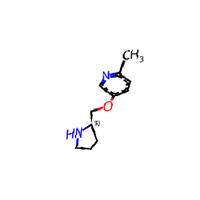 Cc1ccc(OC[C@H]2CCCN2)cn1